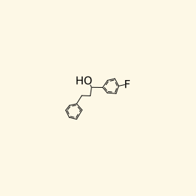 OC(CCc1ccccc1)c1ccc(F)cc1